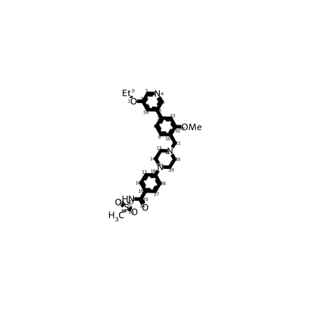 CCOc1cncc(-c2ccc(CN3CCN(c4ccc(C(=O)NS(C)(=O)=O)cc4)CC3)c(OC)c2)c1